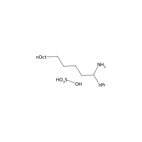 CCCCCCCCCCCCC(N)CCC.O=S(=O)(O)O